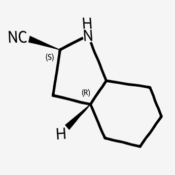 N#C[C@@H]1C[C@H]2CCCCC2N1